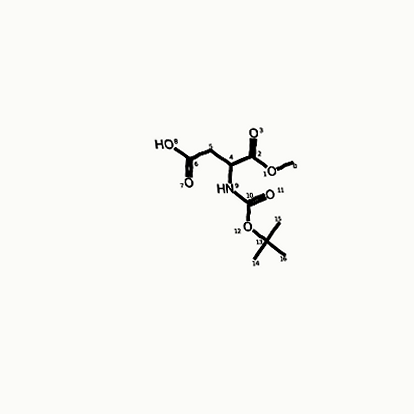 COC(=O)C(CC(=O)O)NC(=O)OC(C)(C)C